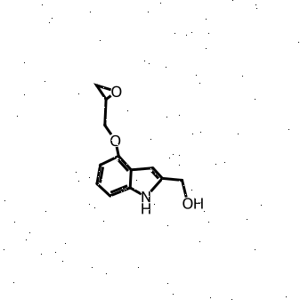 OCc1cc2c(OCC3CO3)cccc2[nH]1